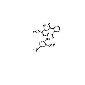 Nc1ccc(Nc2cc(S(=O)(=O)O)c(N)c3c2C(=O)c2ccccc2C3=O)c(C(=O)O)c1